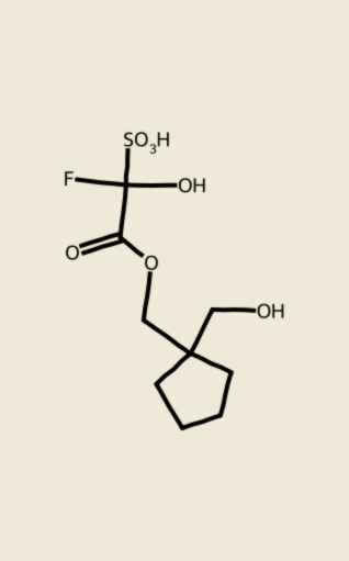 O=C(OCC1(CO)CCCC1)C(O)(F)S(=O)(=O)O